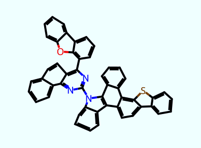 c1ccc2c(c1)ccc1c(-c3cccc4c3oc3ccccc34)nc(-n3c4ccccc4c4c5ccc6c7ccccc7sc6c5c5ccccc5c43)nc12